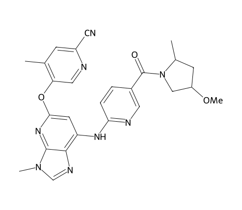 COC1CC(C)N(C(=O)c2ccc(Nc3cc(Oc4cnc(C#N)cc4C)nc4c3ncn4C)nc2)C1